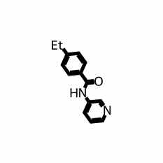 CCc1ccc(C(=O)Nc2cccnc2)cc1